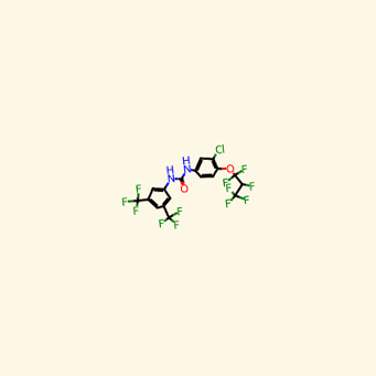 O=C(Nc1cc(C(F)(F)F)cc(C(F)(F)F)c1)Nc1ccc(OC(F)(F)C(F)C(F)(F)F)c(Cl)c1